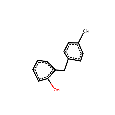 N#Cc1ccc(Cc2ccccc2O)cc1